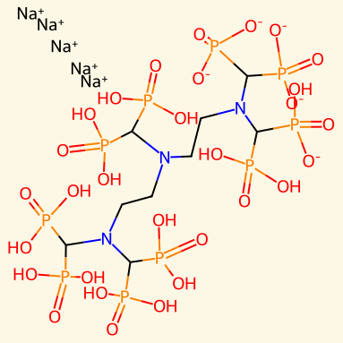 O=P([O-])([O-])C(N(CCN(CCN(C(P(=O)(O)O)P(=O)(O)O)C(P(=O)(O)O)P(=O)(O)O)C(P(=O)(O)O)P(=O)(O)O)C(P(=O)([O-])O)P(=O)(O)O)P(=O)([O-])[O-].[Na+].[Na+].[Na+].[Na+].[Na+]